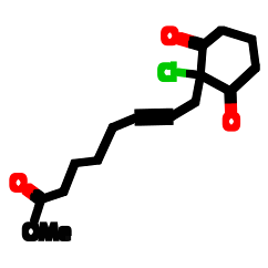 COC(=O)CCCCC#CCC1(Cl)C(=O)CCCC1=O